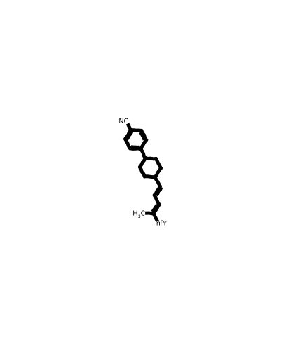 CCC/C(C)=C/C=C/C1CCC(c2ccc(C#N)cc2)CC1